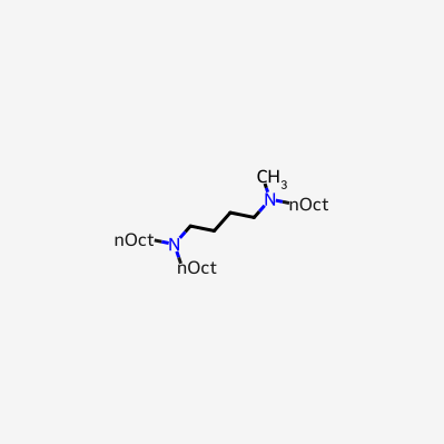 CCCCCCCCN(C)CCCCN(CCCCCCCC)CCCCCCCC